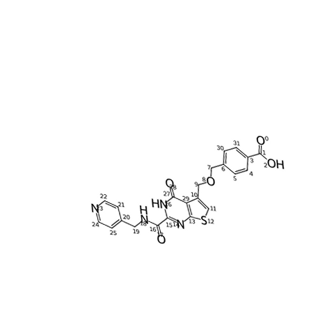 O=C(O)c1ccc(COCc2csc3nc(C(=O)NCc4ccncc4)[nH]c(=O)c23)cc1